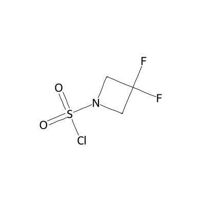 O=S(=O)(Cl)N1CC(F)(F)C1